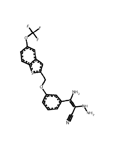 N#C/C(NN)=C(/N)c1cccc(OCc2cc3cc(OC(F)(F)F)ccc3s2)c1